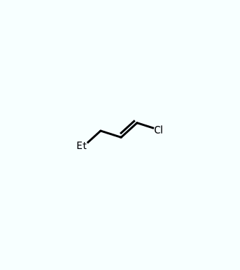 [CH2]CCC=CCl